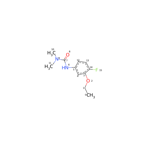 CCOc1cc(NC(=O)N(C)C)ccc1F